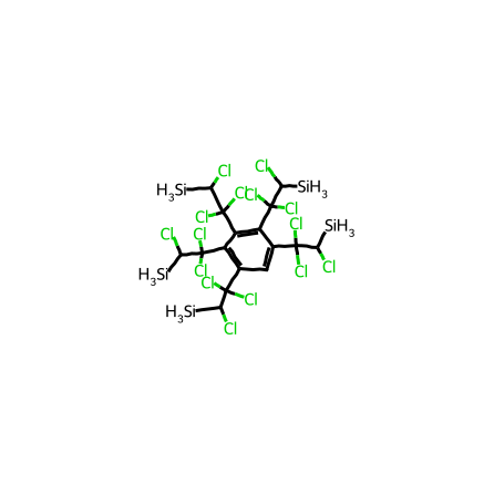 [SiH3]C(Cl)C(Cl)(Cl)c1cc(C(Cl)(Cl)C([SiH3])Cl)c(C(Cl)(Cl)C([SiH3])Cl)c(C(Cl)(Cl)C([SiH3])Cl)c1C(Cl)(Cl)C([SiH3])Cl